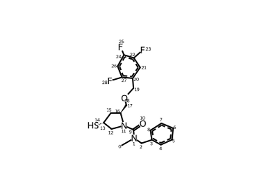 CN(Cc1ccccc1)C(=O)N1C[C@H](S)C[C@H]1COCc1cc(F)c(F)cc1F